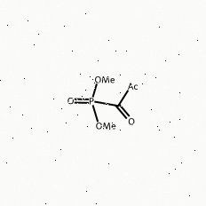 COP(=O)(OC)C(=O)C(C)=O